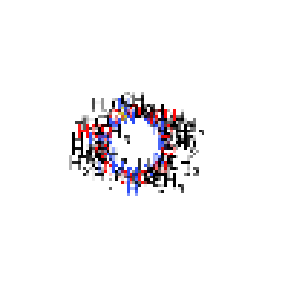 C/C=C/CC(C)C(O)C1C(=O)NC(CC)C(=O)N(C)C(SCN(C)C)C(=O)N(C)C(CC(C)(C)O)C(=O)NC(C(C)C)C(=O)N(C)C(CC(C)C)C(=O)NC(C)C(=O)NC(C)C(=O)N(C)C(CC(C)C)C(=O)N(C)C(CC(C)C)C(=O)N(C)C(C(C)C)C(=O)N1C